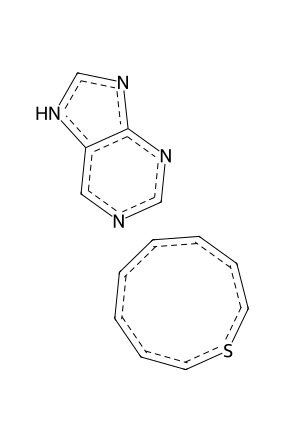 c1ccccsccc1.c1ncc2[nH]cnc2n1